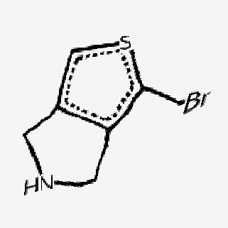 Brc1scc2c1CNC2